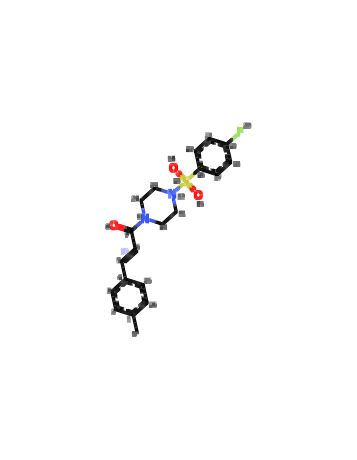 Cc1ccc(/C=C/C(=O)N2CCN(S(=O)(=O)c3ccc(F)cc3)CC2)cc1